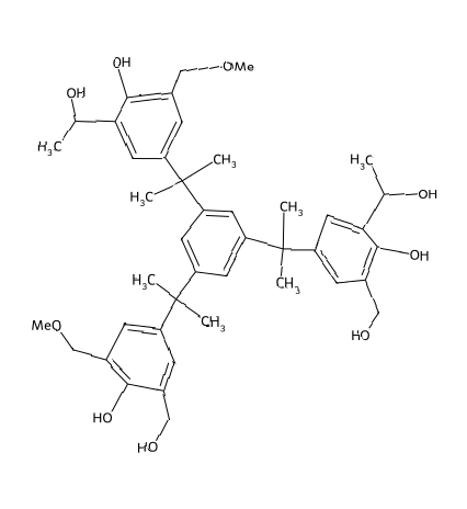 COCc1cc(C(C)(C)c2cc(C(C)(C)c3cc(CO)c(O)c(C(C)O)c3)cc(C(C)(C)c3cc(COC)c(O)c(C(C)O)c3)c2)cc(CO)c1O